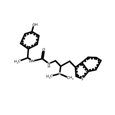 CC(NC(=O)NCC(Cc1csc2ccccc12)N(C)C)c1ccc(O)cc1